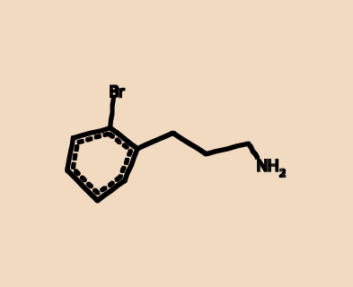 NCCCc1ccccc1Br